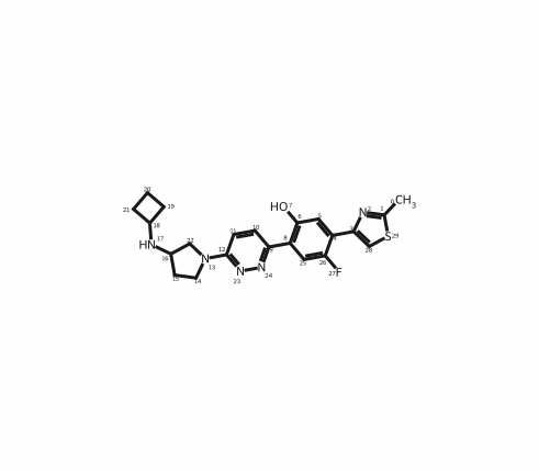 Cc1nc(-c2cc(O)c(-c3ccc(N4CCC(NC5CCC5)C4)nn3)cc2F)cs1